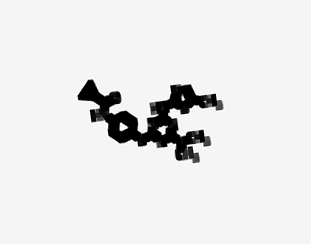 Cc1cnc(Nc2nc(Sc3ccc(NC(=O)C4CC4)cc3)nc(N(C)C)n2)s1